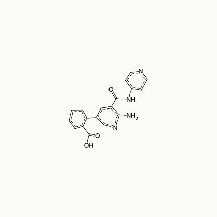 Nc1ncc(-c2ccccc2C(=O)O)cc1C(=O)Nc1ccncc1